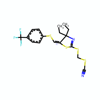 CCC1(CC)N=C(SCSC#N)S/C1=C/Sc1ccc(C(F)(F)F)cc1